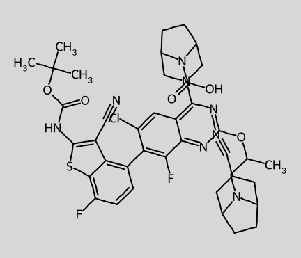 CC(CN1C2CCC1CC(C#N)C2)Oc1nc(N2CC3CCC(C2)N3C(=O)O)c2cc(Cl)c(-c3ccc(F)c4sc(NC(=O)OC(C)(C)C)c(C#N)c34)c(F)c2n1